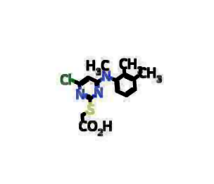 Cc1cccc(N(C)c2cc(Cl)nc(SCC(=O)O)n2)c1C